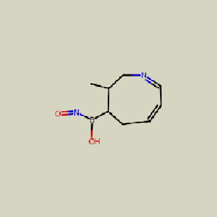 CC1C/N=C\C=C/CC1B(O)N=O